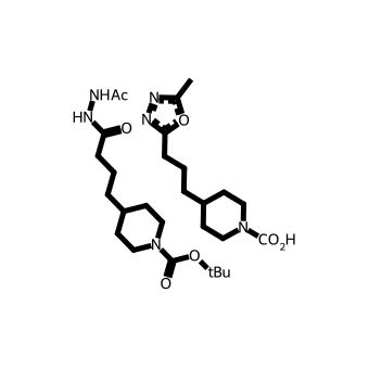 CC(=O)NNC(=O)CCCC1CCN(C(=O)OC(C)(C)C)CC1.Cc1nnc(CCCC2CCN(C(=O)O)CC2)o1